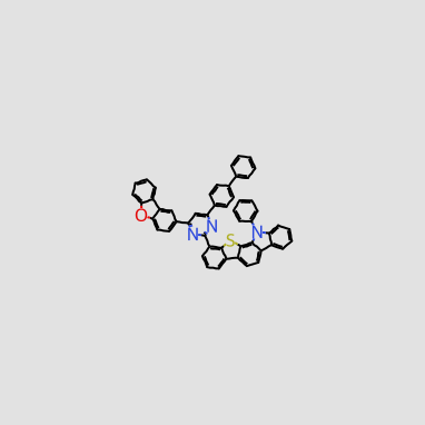 c1ccc(-c2ccc(-c3cc(-c4ccc5oc6ccccc6c5c4)nc(-c4cccc5c4sc4c5ccc5c6ccccc6n(-c6ccccc6)c54)n3)cc2)cc1